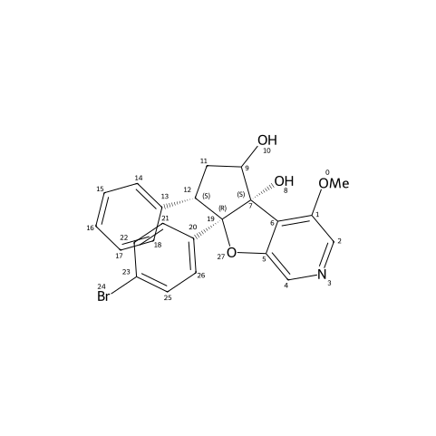 COc1cncc2c1[C@]1(O)C(O)C[C@@H](c3ccccc3)[C@]1(c1ccc(Br)cc1)O2